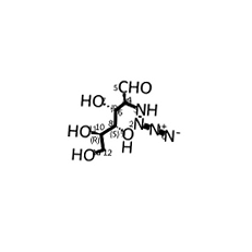 [N-]=[N+]=NN[C@H](C=O)[C@@H](O)[C@H](O)[C@H](O)CO